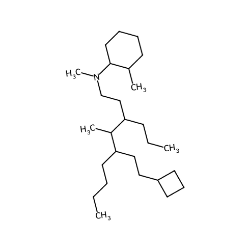 CCCCC(CCC1CCC1)C(C)C(CCC)CCN(C)C1CCCCC1C